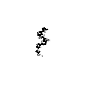 Cc1ccc(-c2cncc3[nH]c(-c4n[nH]c5ccc(-c6cncc(N7CC(N)C7)n6)nc45)nc23)s1